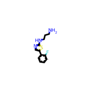 NCCCNc1ncc(-c2ccc[c]c2F)s1